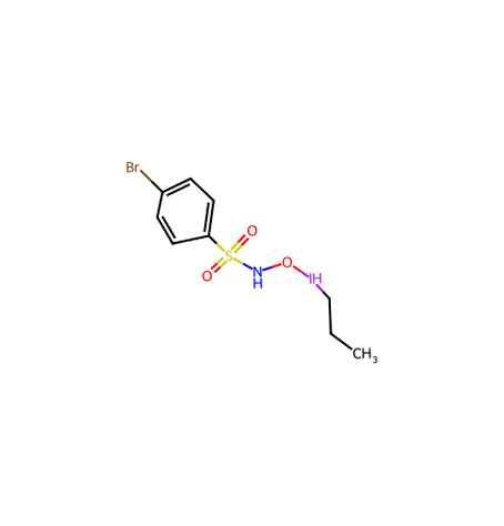 CCC[IH]ONS(=O)(=O)c1ccc(Br)cc1